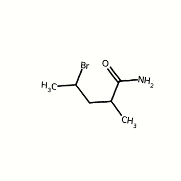 CC(Br)CC(C)C(N)=O